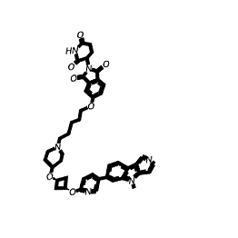 Cn1c2ccncc2c2ccc(-c3ccc(O[C@H]4C[C@H](OC5CCN(CCCCCOc6ccc7c(c6)C(=O)N(C6CCC(=O)NC6=O)C7=O)CC5)C4)nc3)cc21